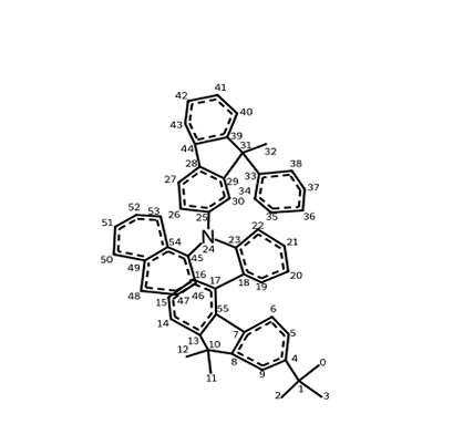 CC(C)(C)c1ccc2c(c1)C(C)(C)c1cccc(-c3ccccc3N(c3ccc4c(c3)C(C)(c3ccccc3)c3ccccc3-4)c3cccc4ccccc34)c1-2